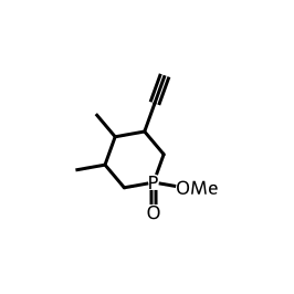 C#CC1CP(=O)(OC)CC(C)C1C